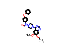 CCOc1cc2ncnc(N3CCN(N(C=O)c4ccc(Oc5ccccc5)cc4)CC3)c2cc1OC